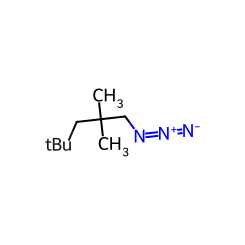 CC(C)(C)CC(C)(C)CN=[N+]=[N-]